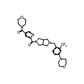 O=C(c1cnn(C(=O)N2CC3CN(Cc4ccc(N5CCOCC5)cc4C(F)(F)F)CC3C2)c1)N1CCOCC1